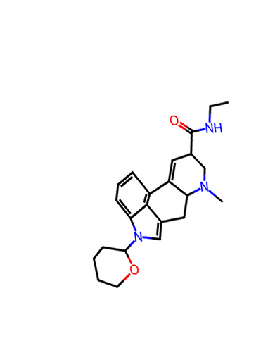 CCNC(=O)C1C=C2c3cccc4c3c(cn4C3CCCCO3)CC2N(C)C1